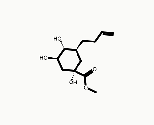 C=CCC[C@H]1C[C@@](O)(C(=O)OC)C[C@@H](O)[C@@H]1O